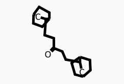 O=C(CCC1CC2CCC1CC2)CCC1CC2CCC1CC2